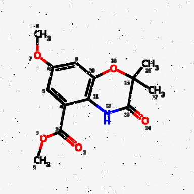 COC(=O)c1cc(OC)cc2c1NC(=O)C(C)(C)O2